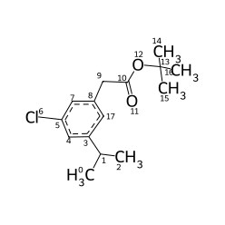 CC(C)c1cc(Cl)cc(CC(=O)OC(C)(C)C)c1